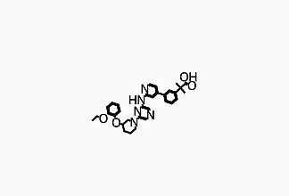 CCOc1ccccc1OC1CCCN(c2cncc(Nc3cc(-c4cccc(C(C)(C)C(=O)O)c4)ccn3)n2)C1